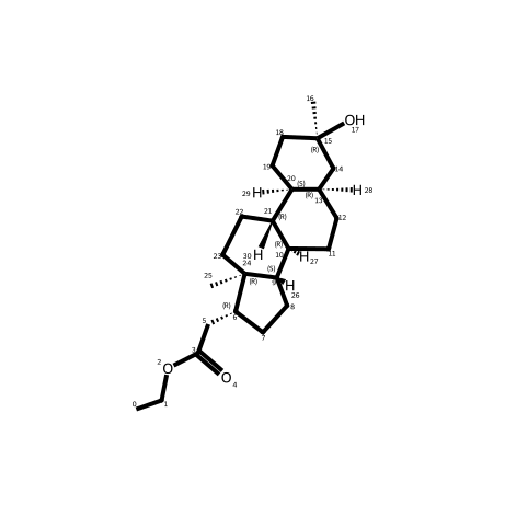 CCOC(=O)C[C@H]1CC[C@H]2[C@@H]3CC[C@@H]4C[C@](C)(O)CC[C@@H]4[C@H]3CC[C@]12C